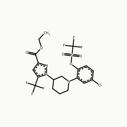 CCOC(=O)c1cc(C(F)(F)F)n(C2CCCN(c3cc(Cl)ccc3OS(=O)(=O)C(F)(F)F)C2)n1